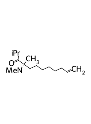 C=CCCCCCC[C@@](C)(NC)C(=O)C(C)C